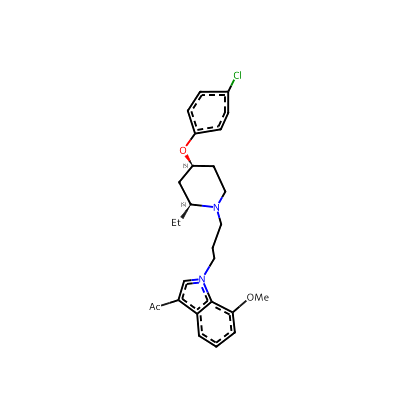 CC[C@H]1C[C@@H](Oc2ccc(Cl)cc2)CCN1CCCn1cc(C(C)=O)c2cccc(OC)c21